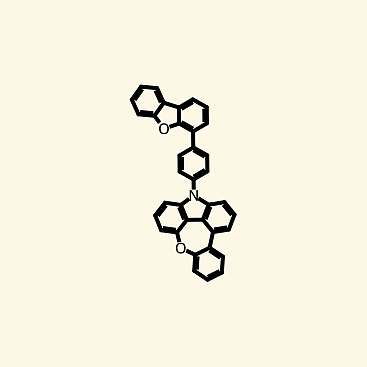 c1ccc2c(c1)oc1c(-c3ccc(-n4c5cccc6oc7ccccc7c7cccc4c7c65)cc3)cccc12